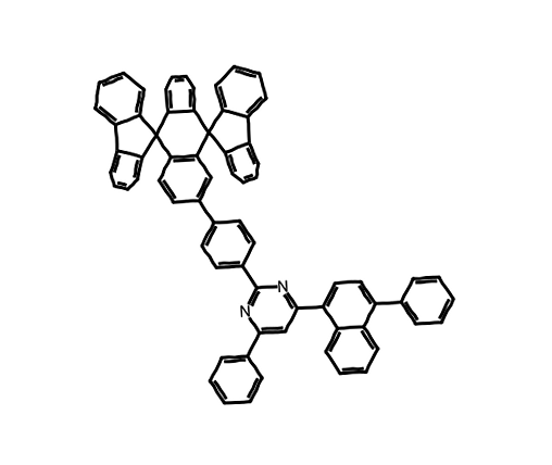 c1ccc(-c2cc(-c3ccc(-c4ccccc4)c4ccccc34)nc(-c3ccc(-c4ccc5c(c4)C4(c6ccccc6-c6ccccc64)c4ccccc4C54c5ccccc5-c5ccccc54)cc3)n2)cc1